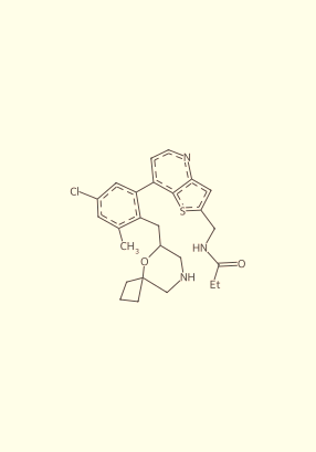 CCC(=O)NCc1cc2nccc(-c3cc(Cl)cc(C)c3CC3CNCC4(CCC4)O3)c2s1